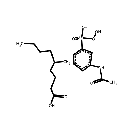 CC(=O)Nc1cccc([As](=O)(O)OO)c1.CCCCC(C)CCCC(=O)O